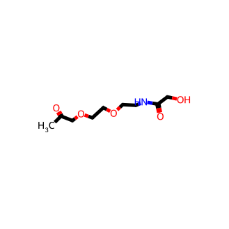 CC(=O)COCCOCCNC(=O)CO